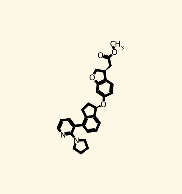 COC(=O)C[C@@H]1COc2cc(O[C@@H]3CCc4c(-c5cccnc5N5CCCC5)cccc43)ccc21